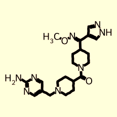 CO/N=C(/c1cn[nH]c1)C1CCN(C(=O)C2CCN(Cc3cnc(N)nc3)CC2)CC1